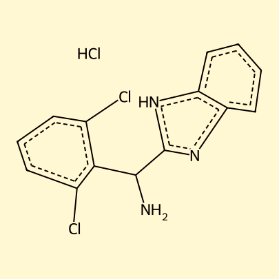 Cl.NC(c1nc2ccccc2[nH]1)c1c(Cl)cccc1Cl